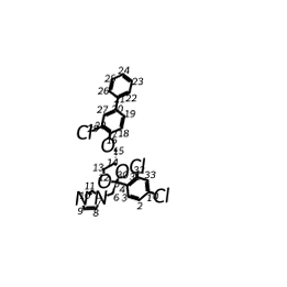 Clc1ccc([C@]2(Cn3ccnc3)OC[C@H](COc3ccc(-c4ccccc4)cc3Cl)O2)c(Cl)c1